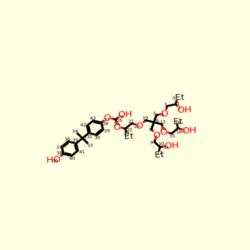 CCC(O)COCC(COCC(O)CC)(COCC(O)CC)COCC(CC)OC(O)Oc1ccc(C(C)(C)c2ccc(O)cc2)cc1